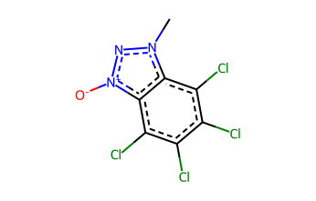 Cn1n[n+]([O-])c2c(Cl)c(Cl)c(Cl)c(Cl)c21